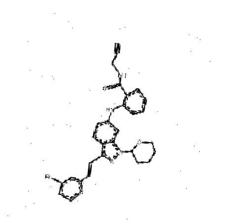 C#CCNC(=O)c1ccccc1Nc1ccc2c(C=Cc3cc(CC)ccn3)nn(C3CCCCO3)c2c1